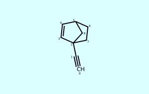 C#CC12C=CC(CC1)C2